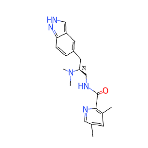 Cc1cnc(C(=O)NC[C@H](Cc2ccc3n[nH]cc3c2)N(C)C)c(C)c1